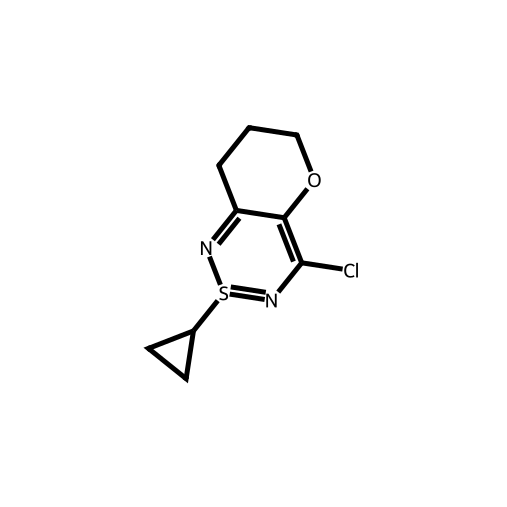 ClC1=C2OCCCC2=NS(C2CC2)=N1